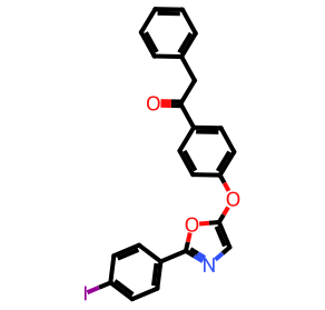 O=C(Cc1ccccc1)c1ccc(Oc2cnc(-c3ccc(I)cc3)o2)cc1